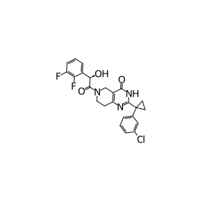 O=C([C@H](O)c1cccc(F)c1F)N1CCc2nc(C3(c4cccc(Cl)c4)CC3)[nH]c(=O)c2C1